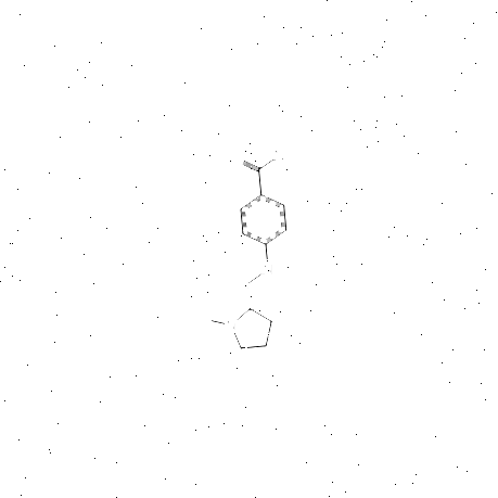 CCN1CCC[C@H]1CNc1ccc(C(N)=O)cc1